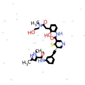 Cc1cc(C(=O)Nc2cccc(C#C[C@H]3C=NC=C(C(=O)Nc4cccc(CC(=O)N(C)CCO)c4O)C3=S)c2)n(C)n1